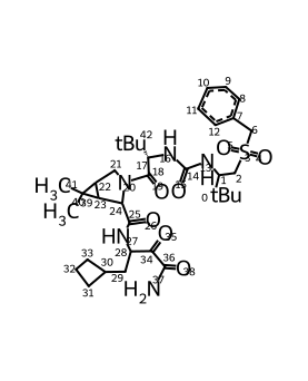 CC(C)(C)C(CS(=O)(=O)Cc1ccccc1)NC(=O)N[C@H](C(=O)N1CC2C(C1C(=O)NC(CC1CCC1)C(=O)C(N)=O)C2(C)C)C(C)(C)C